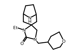 CCN1C(=O)N(CC2CCOCC2)CC12CC1CCC(C2)N1